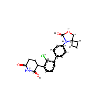 O=C1CCC(c2cccc(-c3ccc(N4C(=O)OCC45CCC5)cc3)c2Cl)C(=O)N1